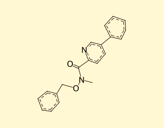 CN(OCc1ccccc1)C(=O)c1ccc(-c2ccccc2)cn1